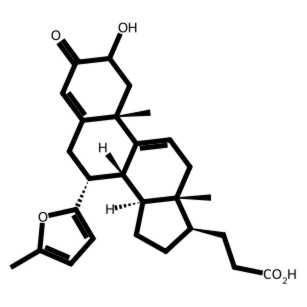 Cc1ccc([C@@H]2CC3=CC(=O)C(O)C[C@]3(C)C3=CC[C@]4(C)[C@@H](CCC(=O)O)CC[C@H]4[C@@H]32)o1